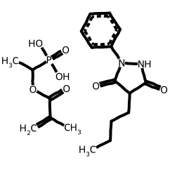 C=C(C)C(=O)OC(C)P(=O)(O)O.CCCCC1C(=O)NN(c2ccccc2)C1=O